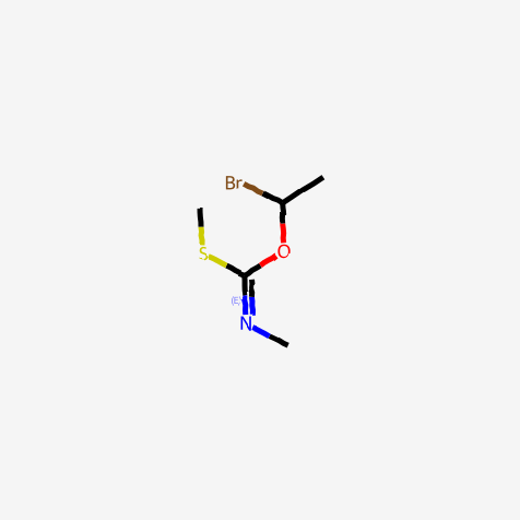 C/N=C(\OC(C)Br)SC